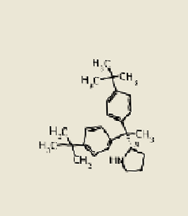 CC(C)(C)c1ccc(C(C)(c2ccc(C(C)(C)C)cc2)[C@@H]2CCCN2)cc1